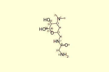 CN(C)C1CC(CNC(=O)CN)O[C@@H](O)C1O